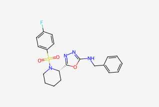 O=S(=O)(c1ccc(F)cc1)N1CCCC[C@H]1c1nnc(NCc2ccccc2)o1